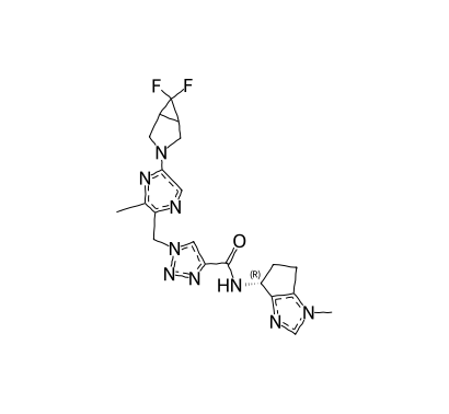 Cc1nc(N2CC3C(C2)C3(F)F)cnc1Cn1cc(C(=O)N[C@@H]2CCc3c2ncn3C)nn1